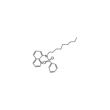 CCCCCCCCCN(c1cccc2cccnc12)S(=O)(=O)c1ccccc1